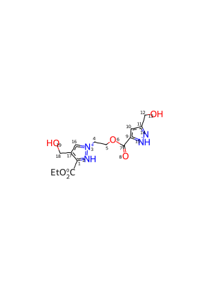 CCOC(=O)c1[nH][n+](CCOC(=O)c2cc(CO)n[nH]2)cc1CO